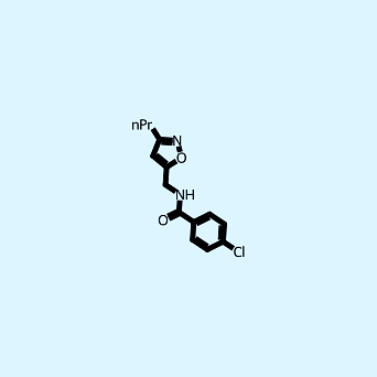 CCCc1cc(CNC(=O)c2ccc(Cl)cc2)on1